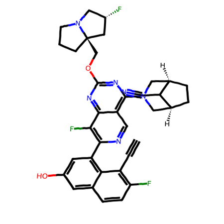 C#Cc1c(F)ccc2cc(O)cc(-c3ncc4c(N5C[C@H]6CC[C@@H](C5)C6C#N)nc(OC[C@@]56CCCN5C[C@H](F)C6)nc4c3F)c12